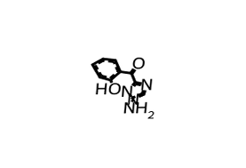 Nn1cnc(C(=O)c2ccccc2O)n1